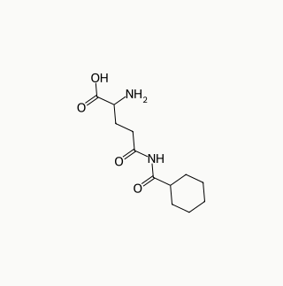 NC(CCC(=O)NC(=O)C1CCCCC1)C(=O)O